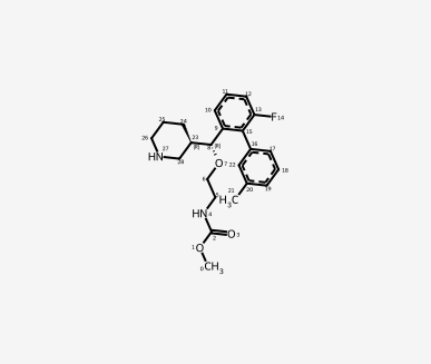 COC(=O)NCCO[C@@H](c1cccc(F)c1-c1cccc(C)c1)[C@@H]1CCCNC1